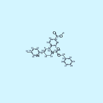 COC(=O)c1ccc([C@@H]2C=C(c3ccc(C)cn3)CCN2C(=O)OCc2ccccc2)cc1